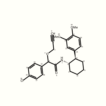 C#CCOC(C(=O)N[C@H]1CCCC[C@@H]1c1ccc(OC)c(OC)c1)c1ccc(Cl)cc1